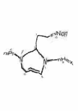 CCCCCCCCCCC1N(CCC)C=CN1CCCCCC